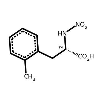 Cc1ccccc1C[C@H](N[N+](=O)[O-])C(=O)O